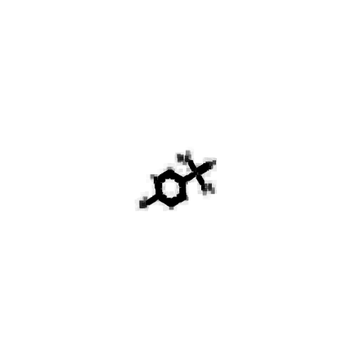 CP(C)(=O)c1ccc(Br)nc1